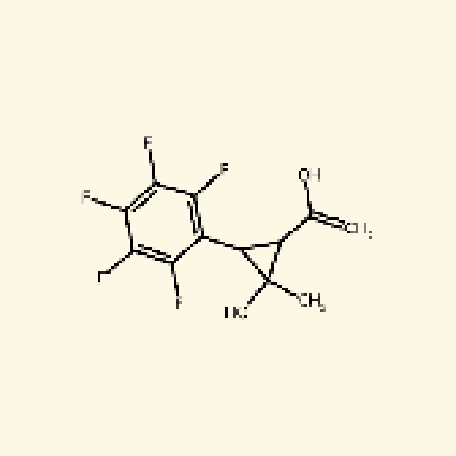 C=C(O)C1C(c2c(F)c(F)c(F)c(F)c2F)C1(C)O